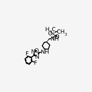 CC(C)S(=O)(=O)NC[C@H]1CC[C@H](Nc2nc(-c3c(F)cccc3F)no2)CC1